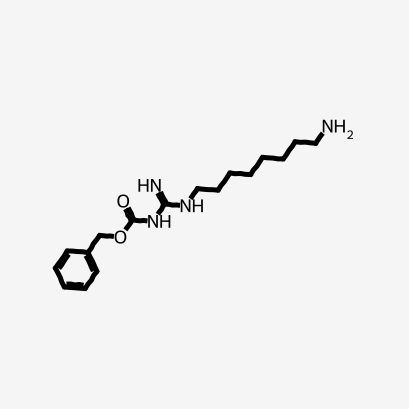 N=C(NCCCCCCCCN)NC(=O)OCc1ccccc1